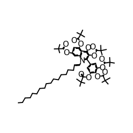 CCCCCCCCCCCCCCCCC=Cn1c(-c2cc(OC(=O)C(C)(C)C)c(OC(=O)C(C)(C)C)c(OC(=O)C(C)(C)C)c2)c(OC(=O)C(C)(C)C)c(=O)c2c(OC(=O)C(C)(C)C)cc(OC(=O)C(C)(C)C)cc21